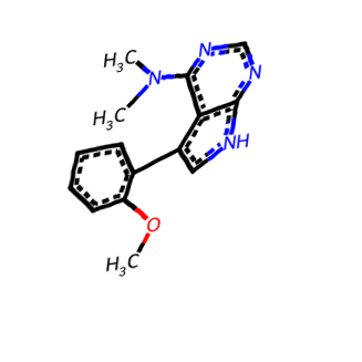 COc1ccccc1-c1c[nH]c2ncnc(N(C)C)c12